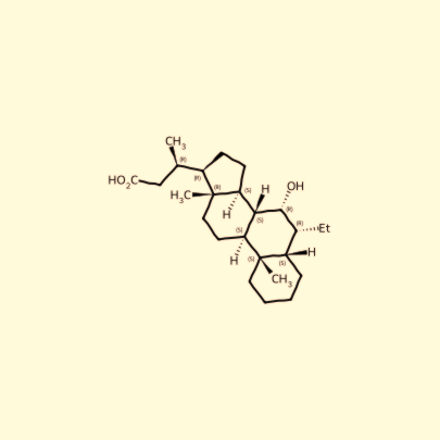 CC[C@H]1[C@@H](O)[C@@H]2[C@H](CC[C@]3(C)[C@@H]([C@H](C)CC(=O)O)CC[C@@H]23)[C@@]2(C)CCCC[C@@H]12